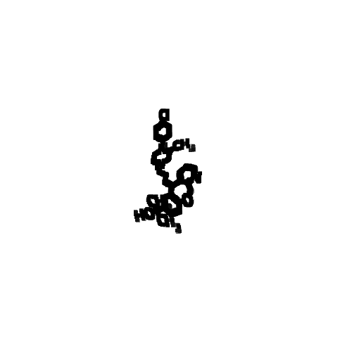 CC1CN(CCC=C2c3cc(C(C)(C)O)ccc3OCc3ncccc32)CCN1c1ccc(Cl)cc1